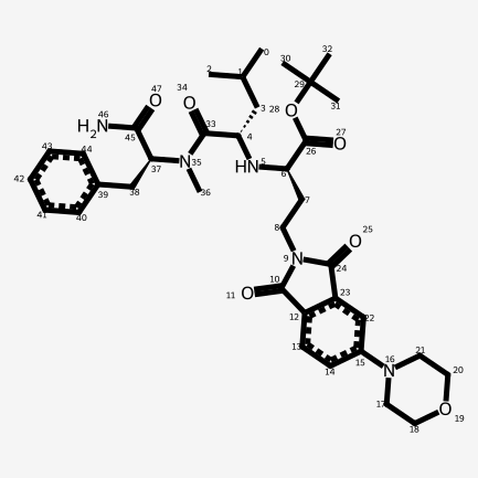 CC(C)C[C@H](N[C@H](CCN1C(=O)c2ccc(N3CCOCC3)cc2C1=O)C(=O)OC(C)(C)C)C(=O)N(C)[C@@H](Cc1ccccc1)C(N)=O